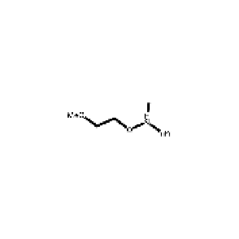 CCC[SiH](C)OCCOC